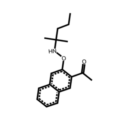 CCCC(C)(C)NOc1cc2ccccc2cc1C(C)=O